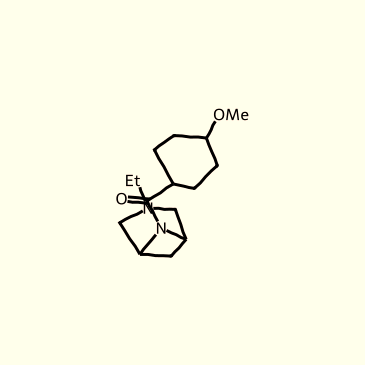 CCN1CC2CC(C1)N2C(=O)C1CCC(OC)CC1